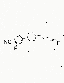 N#Cc1ccc([C@H]2CC[C@H](CCCC=CF)CC2)cc1F